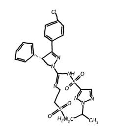 CC(C)n1ncc(S(=O)(=O)NC(=NCCS(N)(=O)=O)N2C[C@H](c3ccccc3)C(c3ccc(Cl)cc3)=N2)n1